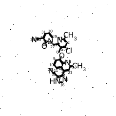 Cc1cc(Cl)c(COc2cccc3c(-c4nc[nH]c4C#N)cc(C)nc23)c(Cn2cccc(C#N)c2=O)n1